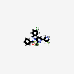 O=C(c1ccccc1)N(Cc1ccc(Cl)cc1)c1ccc(-c2cncc(F)c2)nc1C(F)(F)F